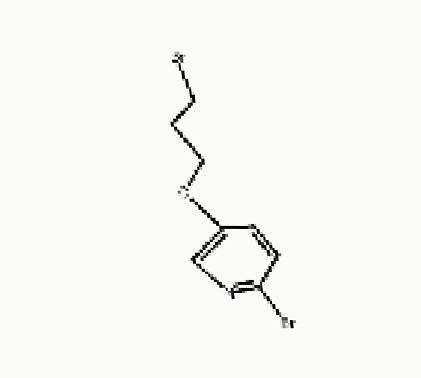 BrCCCOc1ccc(Br)nc1